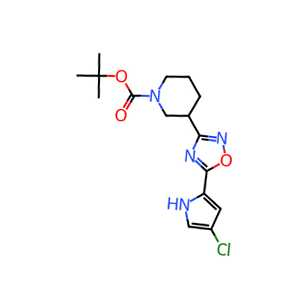 CC(C)(C)OC(=O)N1CCCC(c2noc(-c3cc(Cl)c[nH]3)n2)C1